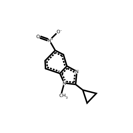 Cn1c(C2CC2)nc2cc([N+](=O)[O-])ccc21